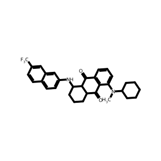 CN(c1cccc2c1C(=O)C1CCCC(Nc3ccc4ccc(C(F)(F)F)cc4c3)C1C2=O)C1CCCCC1